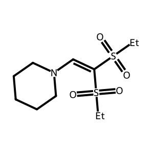 CCS(=O)(=O)C(=CN1CCCCC1)S(=O)(=O)CC